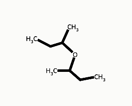 CC[C](C)OC(C)CC